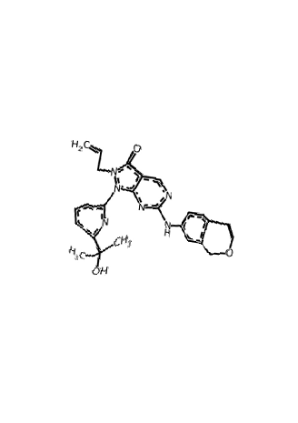 C=CCn1c(=O)c2cnc(Nc3ccc4c(c3)COCC4)nc2n1-c1cccc(C(C)(C)O)n1